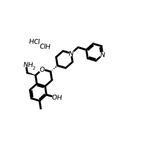 Cc1ccc2c(c1O)C[C@@H](C1CCN(Cc3ccncc3)CC1)O[C@@H]2CN.Cl.Cl